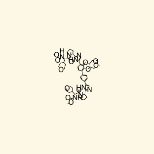 COCCOc1c(-c2ccc(-c3cnc([C@@H]4CCCN4C(=O)[C@@H](NC(=O)OC)C4CCOCC4)[nH]3)cc2)ccc(-c2cnc([C@@H]3CCCN3C(=O)[C@@H](NC(=O)OC)C3CCOCC3)[nH]2)c1OCCOC